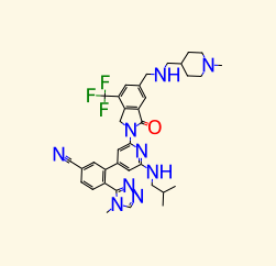 CC(C)CNc1cc(-c2cc(C#N)ccc2-c2nncn2C)cc(N2Cc3c(cc(CNCC4CCN(C)CC4)cc3C(F)(F)F)C2=O)n1